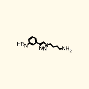 NCCCCn1cc(-c2cccc(N=P)c2)nn1